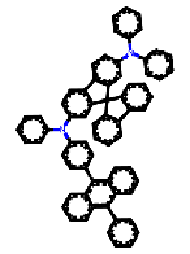 c1ccc(-c2c3ccccc3c(-c3ccc(N(c4ccccc4)c4ccc5c(c4)C4(c6ccccc6-c6ccccc64)c4cc(N(c6ccccc6)c6ccccc6)ccc4-5)cc3)c3ccccc23)cc1